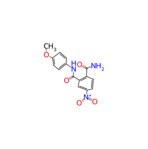 COc1ccc(NC(=O)c2cc([N+](=O)[O-])ccc2C(N)=O)cc1